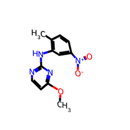 COc1ccnc(Nc2cc([N+](=O)[O-])ccc2C)n1